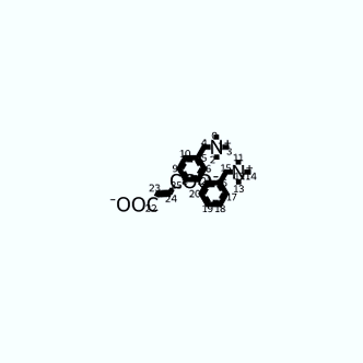 C[N+](C)(C)Cc1ccccc1.C[N+](C)(C)Cc1ccccc1.O=C([O-])C=CC(=O)[O-]